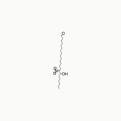 CCCCCCC(O)C(CCCCCCCCCCCCC[C]=O)[N+](=O)[O-]